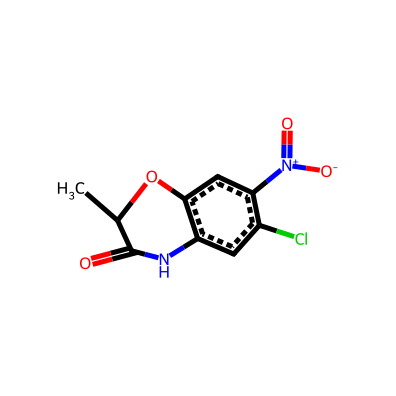 CC1Oc2cc([N+](=O)[O-])c(Cl)cc2NC1=O